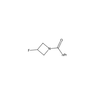 CCCC(=O)N1CC(F)C1